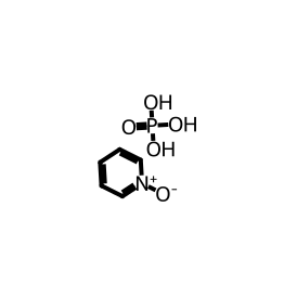 O=P(O)(O)O.[O-][n+]1ccccc1